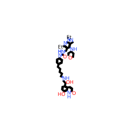 CCc1nc2c(cnn2CC)c(NC2CCOCC2)c1CNC(=O)Nc1ccc(CCCCCNCC(O)c2ccc(O)c3[nH]c(=O)ccc23)cc1